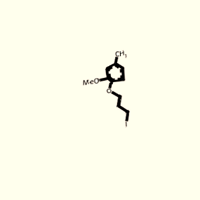 COc1cc(C)ccc1OCCCI